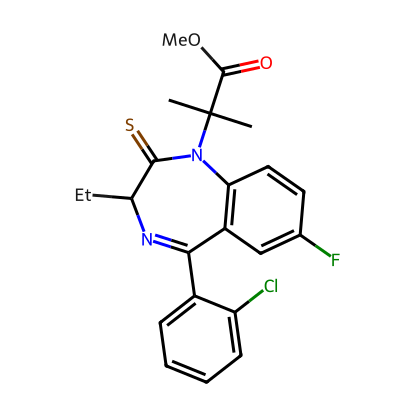 CCC1N=C(c2ccccc2Cl)c2cc(F)ccc2N(C(C)(C)C(=O)OC)C1=S